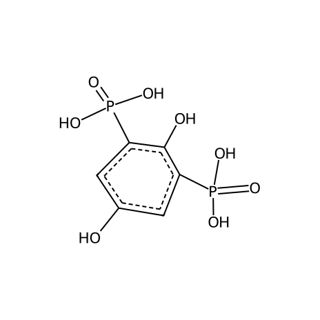 O=P(O)(O)c1cc(O)cc(P(=O)(O)O)c1O